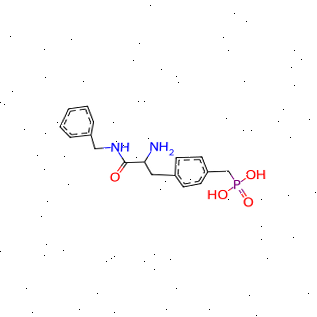 NC(Cc1ccc(CP(=O)(O)O)cc1)C(=O)NCc1ccccc1